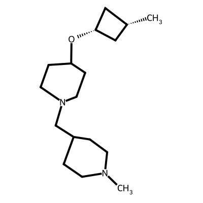 CN1CCC(CN2CCC(O[C@H]3C[C@@H](C)C3)CC2)CC1